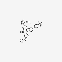 Cc1ncsc1C=Cc1c(C(=O)O)n(-c2ccc(OC3CCCC3)cc2)c2ccc(-c3ccc(C(F)(F)F)cc3)cc12